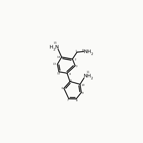 NCc1cc(-c2ccccc2N)ccc1N